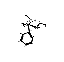 CCN[Si](Cl)(NC)c1ccccc1